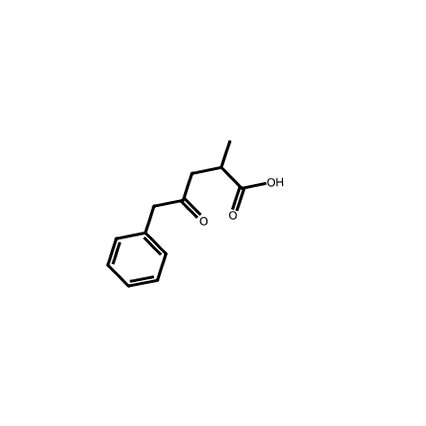 CC(CC(=O)Cc1ccccc1)C(=O)O